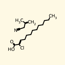 C=C(C)CC#N.CCCCCCCCCCC=C(Cl)C(=O)O